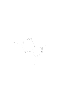 Cc1nc(C(C)C)c2c(Cl)cc(Cl)nn12